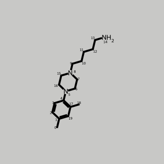 Cc1ccc(N2CCN(CCCCCN)CC2)c(C)c1